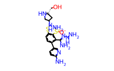 NN/N=C(\N)c1c(-c2ccc(N)nc2)ccc(SNC2CN[C@H](CO)C2)c1[S+](N)[O-]